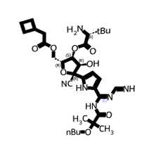 CCCCOC(C)(C)C(=O)N/C(=N/C=N)c1ccc([C@]2(C#N)O[C@H](COC(=O)CC3CCC3)[C@@H](OC(=O)[C@H](N)C(C)(C)C)[C@H]2O)[nH]1